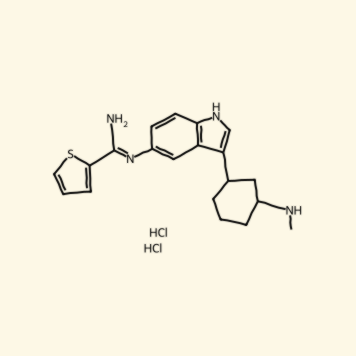 CNC1CCCC(c2c[nH]c3ccc(N=C(N)c4cccs4)cc23)C1.Cl.Cl